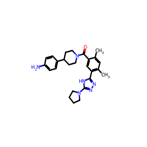 Cc1cc(C)c(-c2nnc(N3CCCC3)[nH]2)cc1C(=O)N1CCC(c2ccc(N)cc2)CC1